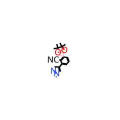 Cn1cc(-c2cccc(B3OC(C)(C)C(C)(C)O3)c2C#N)cn1